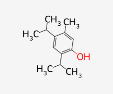 Cc1cc(O)c(C(C)C)cc1C(C)C